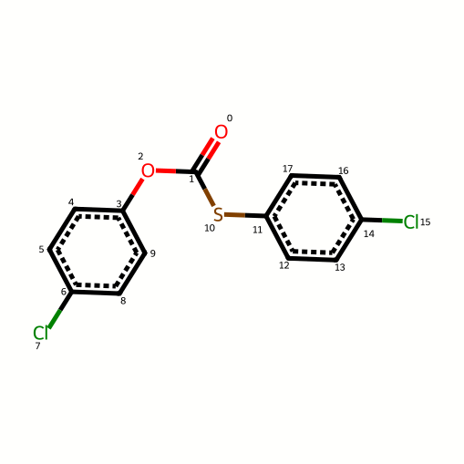 O=C(Oc1ccc(Cl)cc1)Sc1ccc(Cl)cc1